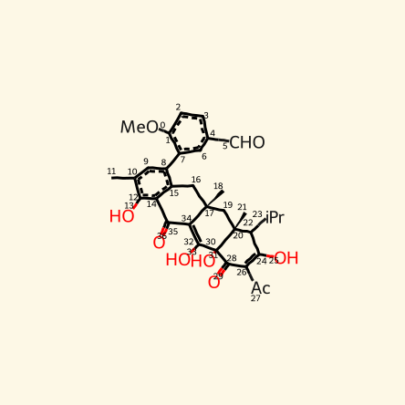 COc1ccc(C=O)cc1-c1cc(C)c(O)c2c1C[C@]1(C)C[C@]3(C)C(C(C)C)C(O)=C(C(C)=O)C(=O)[C@]3(O)C(O)=C1C2=O